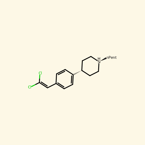 CCCCC[Si@H]1CC[C@H](c2ccc(C=C(Cl)Cl)cc2)CC1